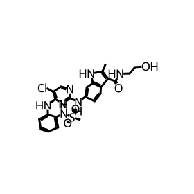 Cc1[nH]c2cc(Nc3ncc(Cl)c(Nc4ccccc4NS(C)(=O)=O)n3)ccc2c1C(=O)NCCO